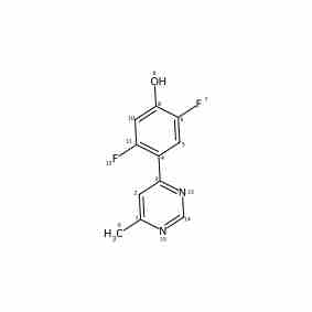 Cc1cc(-c2cc(F)c(O)cc2F)ncn1